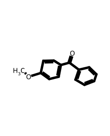 COc1c[c]c(C(=O)c2ccccc2)cc1